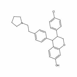 Oc1ccc2c(c1)OCC(c1ccc(Cl)cc1)C2c1ccc(CCN2CCCC2)cc1